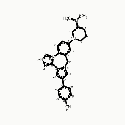 CN(C)C1CCCN(c2ccc3c(c2)Cn2cc(-c4ccc(C#N)cc4)cc2-c2nncn2-3)C1